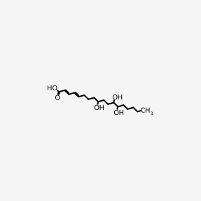 CCCCCC(O)C(O)CCC(O)CCCC=CC=CC(=O)O